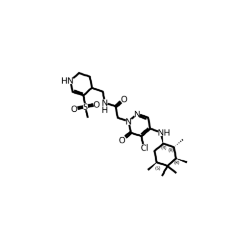 C[C@@H]1[C@@H](C)C(C)(C)[C@@H](C)C[C@H]1Nc1cnn(CC(=O)NCC2CCNC=C2S(C)(=O)=O)c(=O)c1Cl